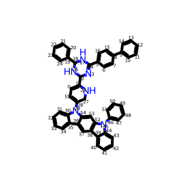 C1=C(C2N=C(c3ccc(-c4ccccc4)cc3)NC(c3ccccc3)N2)NCC(n2c3ccccc3c3cc4c5ccccc5n(-c5ccccc5)c4cc32)=C1